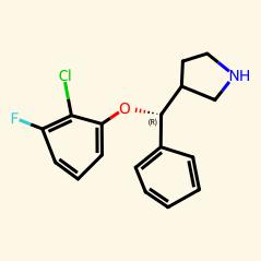 Fc1cccc(O[C@@H](c2ccccc2)C2CCNC2)c1Cl